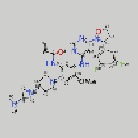 C=CC(=O)Nc1cc(Nc2cc(N3OCC[C@@H]3c3cc(F)cc(F)c3)ncn2)c(OC)cc1N1CCC(N2CC(N(C)C)C2)CC1